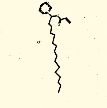 C=CC(=O)OC(CCCCCCCCCCCCCCC)[n+]1ccccc1.[Cl-]